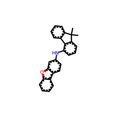 CC1(C)c2ccccc2-c2c(Nc3ccc4c(c3)oc3ccccc34)cccc21